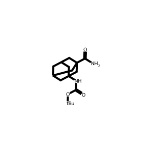 CC(C)(C)OC(=O)NC12CC3CC(C1)CC(C(N)=O)(C3)C2